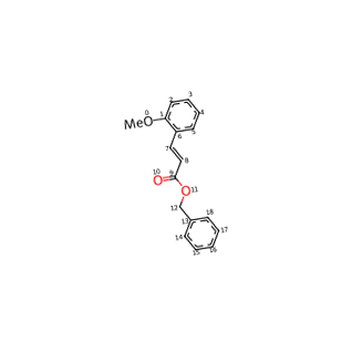 COc1ccccc1/C=C/C(=O)OCc1ccccc1